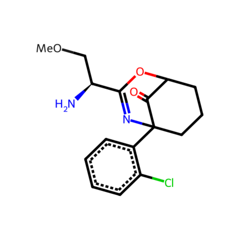 COC[C@H](N)C1=NC2(c3ccccc3Cl)CCCC(O1)C2=O